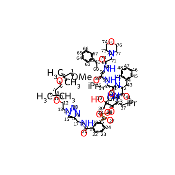 COCC(C)(C)OCCC(C)(C)OCCn1cc(CNC(=O)c2cccc(S(=O)(=O)OCC(C)(O)C(=O)[C@H](CC(C)C)NC(=O)[C@H](Cc3ccccc3)NC(=O)[C@H](CC(C)C)NC(=O)[C@H](CCc3ccccc3)NC(=O)CN3CCOCC3)c2)nn1